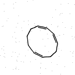 [C]1=CCCCC=CCCC=C1